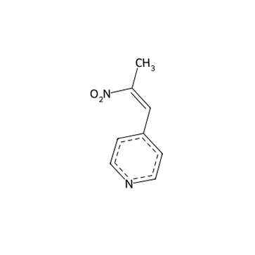 C/C(=C/c1ccncc1)[N+](=O)[O-]